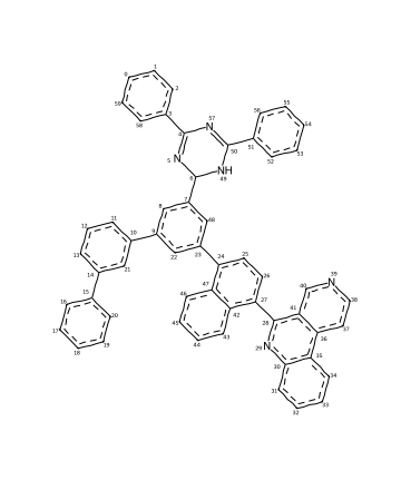 c1ccc(C2=NC(c3cc(-c4cccc(-c5ccccc5)c4)cc(-c4ccc(-c5nc6ccccc6c6ccncc56)c5ccccc45)c3)NC(c3ccccc3)=N2)cc1